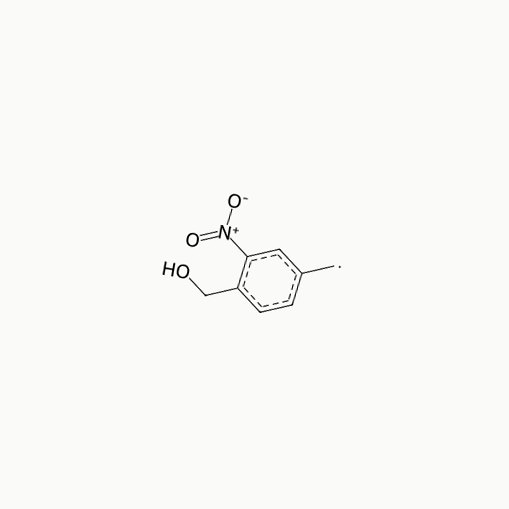 [CH2]c1ccc(CO)c([N+](=O)[O-])c1